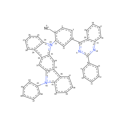 N#Cc1ccc(-c2nc(-c3ccccc3)nc3ccccc23)cc1-n1c2ccccc2c2cc3c(cc21)c1ccccc1n3-c1ccccc1